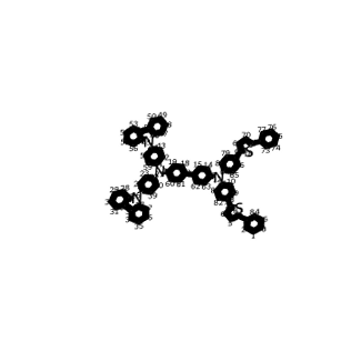 c1ccc(-c2ccc(-c3ccc(N(c4ccc(-c5ccc(N(c6ccc(-n7c8ccccc8c8ccccc87)cc6)c6ccc(-n7c8ccccc8c8ccccc87)cc6)cc5)cc4)c4ccc(-c5ccc(-c6ccccc6)s5)cc4)cc3)s2)cc1